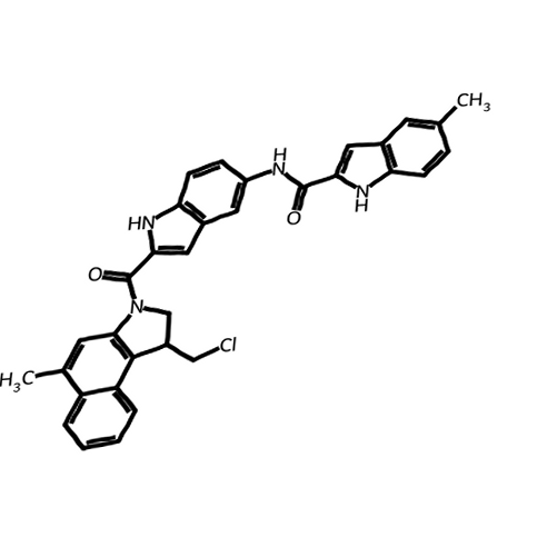 Cc1ccc2[nH]c(C(=O)Nc3ccc4[nH]c(C(=O)N5CC(CCl)c6c5cc(C)c5ccccc65)cc4c3)cc2c1